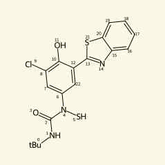 CC(C)(C)NC(=O)N(S)c1cc(Cl)c(O)c(-c2nc3ccccc3s2)c1